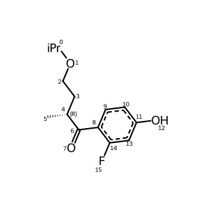 CC(C)OCC[C@@H](C)C(=O)c1ccc(O)cc1F